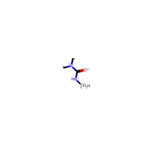 CN(C)C(=O)NC(=O)O